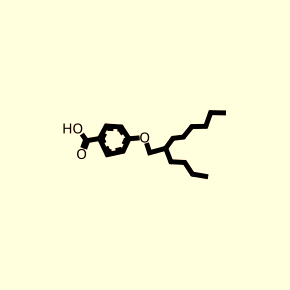 CCCCCCC(CCCC)COc1ccc(C(=O)O)cc1